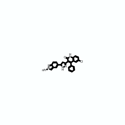 CCCn1cc2cc(C3CC(c4c(-c5ccccc5)c5cc(Cl)ccc5[nH]c4=O)=NN3)ccc2n1